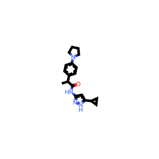 CC(C(=O)Nc1cc(C2CC2)[nH]n1)c1ccc(N2CCCC2)cc1